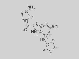 N[C@H]1CCN(C(=O)c2cc3cc(Cl)cc(NC4CCCC4)c3[nH]2)C1